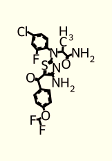 CC(C(N)=O)N(c1nc(N)c(C(=O)c2ccc(OC(F)F)cc2)s1)c1ccc(Cl)cc1F